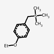 CCOc1ccc(CS(C)(C)C)cc1